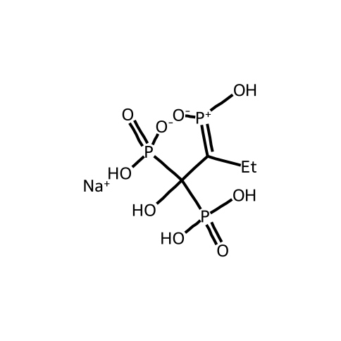 CC/C(=[P+](/[O-])O)C(O)(P(=O)([O-])O)P(=O)(O)O.[Na+]